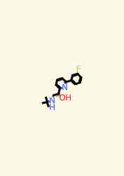 CC(C)(C)NC[C@H](O)c1cccc(-c2cccc(F)c2)n1